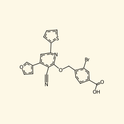 N#Cc1c(-c2ccoc2)cc(-c2cccs2)nc1OCc1ccc(C(=O)O)cc1Br